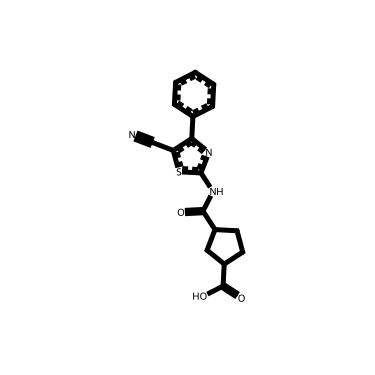 N#Cc1sc(NC(=O)C2CCC(C(=O)O)C2)nc1-c1ccccc1